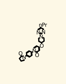 CCCc1cnc(N2CCC(Oc3ccn(-c4ccc(N5CCCC5=O)cc4)c(=O)c3)CC2)nc1